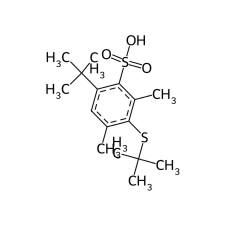 Cc1cc(C(C)(C)C)c(S(=O)(=O)O)c(C)c1SC(C)(C)C